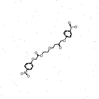 O=C(CCOCCOC(=O)COc1ccc([N+](=O)[O-])cc1)COc1ccc([N+](=O)[O-])cc1